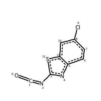 O=C=Nc1nc2ccc(Cl)cc2s1